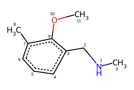 CNCc1cccc(C)c1OC